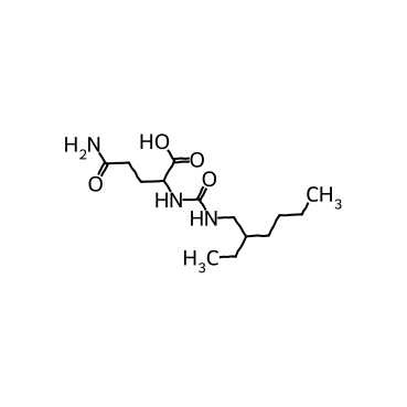 CCCCC(CC)CNC(=O)NC(CCC(N)=O)C(=O)O